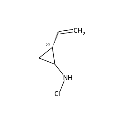 C=C[C@H]1CC1NCl